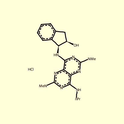 CCCNc1nc(NC)nc2c(N[C@H]3c4ccccc4C[C@H]3O)nc(NC)nc12.Cl